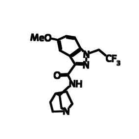 COc1ccc2c(c1)c(C(=O)NC1CN3CCC1CC3)nn2CC(F)(F)F